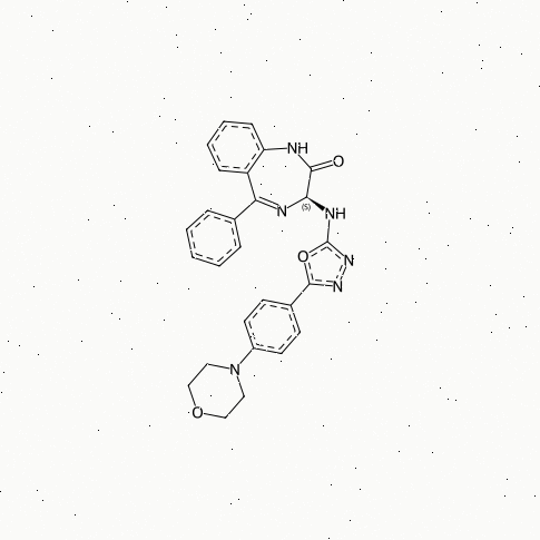 O=C1Nc2ccccc2C(c2ccccc2)=N[C@@H]1Nc1nnc(-c2ccc(N3CCOCC3)cc2)o1